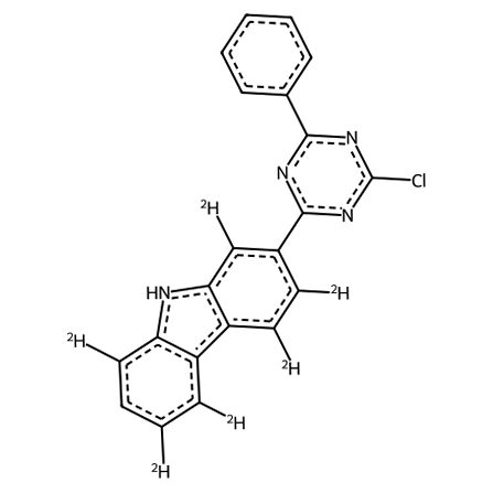 [2H]c1cc([2H])c2[nH]c3c([2H])c(-c4nc(Cl)nc(-c5ccccc5)n4)c([2H])c([2H])c3c2c1[2H]